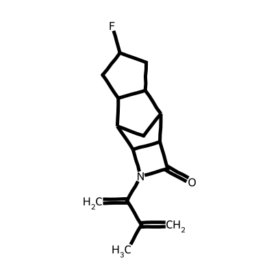 C=C(C)C(=C)N1C(=O)C2C3CC(C4CC(F)CC43)C21